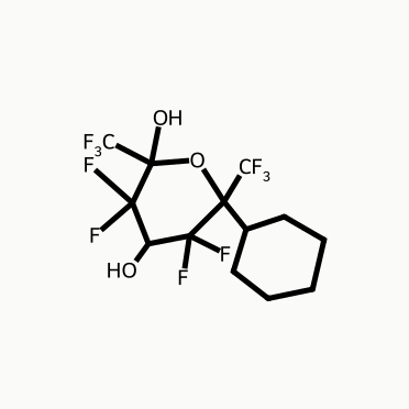 OC1C(F)(F)C(O)(C(F)(F)F)OC(C2CCCCC2)(C(F)(F)F)C1(F)F